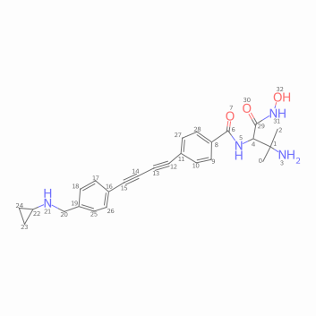 CC(C)(N)C(NC(=O)c1ccc(C#CC#Cc2ccc(CNC3CC3)cc2)cc1)C(=O)NO